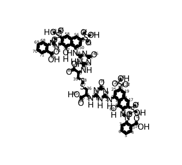 O=C(O)c1ccccc1/N=N/c1c(S(=O)(=O)O)cc2cc(S(=O)(=O)O)cc(Nc3nc(=O)nc(NC(CSSCC(Nc4nc(=O)nc(Nc5cc(S(=O)(=O)O)cc6cc(S(=O)(=O)O)c(/N=N/c7ccccc7C(=O)O)c(O)c56)[nH]4)C(=O)O)C(=O)O)[nH]3)c2c1O